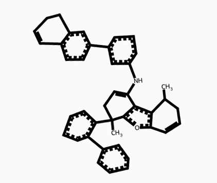 CC1CC=Cc2oc3c(c21)C(Nc1cccc(-c2ccc4c(c2)CCC=C4)c1)=CCC3(C)c1ccccc1-c1ccccc1